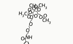 CC(=O)OCC1O[C@H](OCCOCCOCCNC(=O)c2ccccc2)C(OC(C)=O)C(OC(C)=O)[C@@H]1OC(C)=O